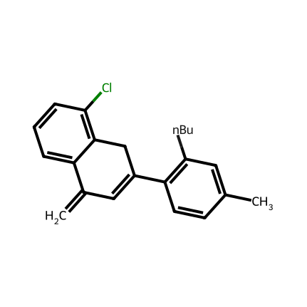 C=C1C=C(c2ccc(C)cc2CCCC)Cc2c(Cl)cccc21